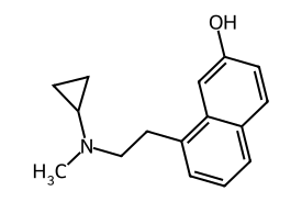 CN(CCc1cccc2ccc(O)cc12)C1CC1